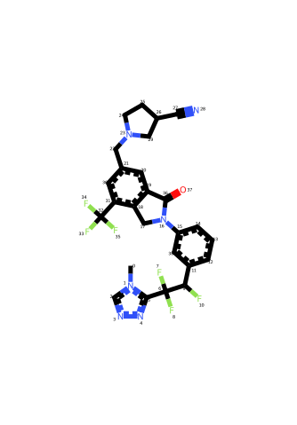 Cn1cnnc1C(F)(F)C(F)c1cccc(N2Cc3c(cc(CN4CCC(C#N)C4)cc3C(F)(F)F)C2=O)c1